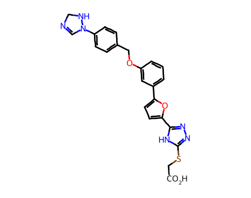 O=C(O)CSc1nnc(-c2ccc(-c3cccc(OCc4ccc(N5C=NCN5)cc4)c3)o2)[nH]1